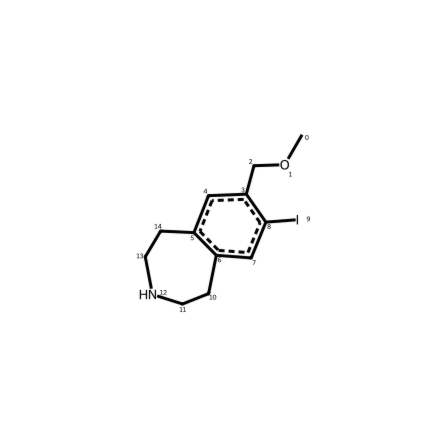 COCc1cc2c(cc1I)CCNCC2